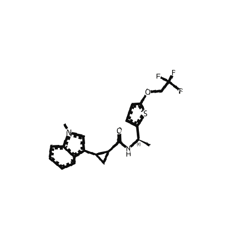 C[C@@H](NC(=O)C1CC1c1cn(C)c2ccccc12)c1ccc(OCC(F)(F)F)s1